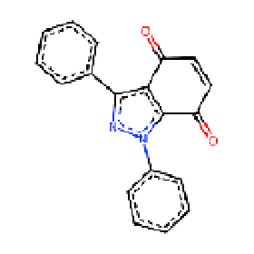 O=C1C=CC(=O)c2c1c(-c1ccccc1)nn2-c1ccccc1